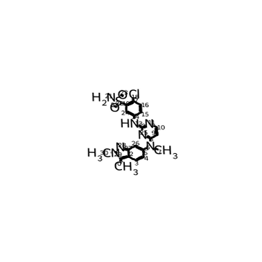 Cc1c2ccc(N(C)c3ccnc(Nc4ccc(Cl)c(S(N)(=O)=O)c4)n3)cc2nn1C